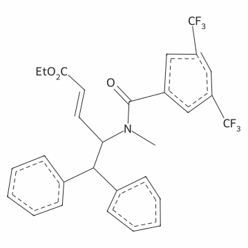 CCOC(=O)C=CC(C(c1ccccc1)c1ccccc1)N(C)C(=O)c1cc(C(F)(F)F)cc(C(F)(F)F)c1